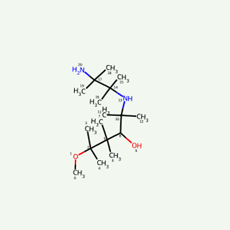 COC(C)(C)C(C)(C)C(O)C(C)(C)NC(C)(C)C(C)(C)N